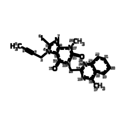 CC#CCn1c(I)nc2c1c(=O)n(Cc1nc(C)c3ccccc3n1)c(=O)n2C